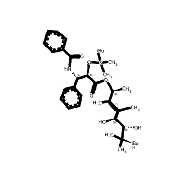 CC[C@H](C)C(C)(C)[C@@H](O)[C@@H](O)/C(C)=C(\C)[C@H](C)OC(=O)[C@H](O[Si](C)(C)C(C)(C)C)[C@@H](NC(=O)c1ccccc1)c1ccccc1